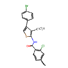 Cc1ccc(C(=O)Nc2scc(-c3ccc(Br)cc3)c2C(=O)O)c(Cl)c1